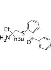 CCCCC(N)(CC)CSc1ccccc1C(=O)c1ccccc1